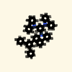 c1ccc(-c2cc(-c3ccccc3)cc(-c3ccc(N(c4cc(-n5c6ccccc6c6ccccc65)cc(-n5c6ccccc6c6ccccc65)c4)c4ccccc4-c4ccccc4)cc3)c2)cc1